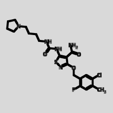 Cc1cc(F)c(COc2nsc(NC(=O)NCCCCN3CCCC3)c2C(N)=O)cc1Cl